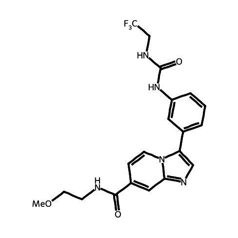 COCCNC(=O)c1ccn2c(-c3cccc(NC(=O)NCC(F)(F)F)c3)cnc2c1